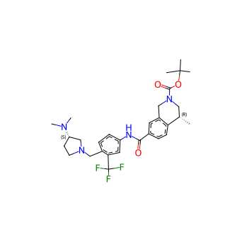 C[C@H]1CN(C(=O)OC(C)(C)C)Cc2cc(C(=O)Nc3ccc(CN4CC[C@H](N(C)C)C4)c(C(F)(F)F)c3)ccc21